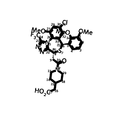 COc1cccc([C@H]2S[C@H](CC(=O)N3CCC(CC(=O)O)CC3)c3nnc(C(F)(F)F)n3-c3c(OC)cc(Cl)cc32)c1OC